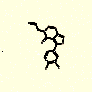 O=CCn1cnc2csc(-c3ccc(F)c(Cl)c3)c2c1=O